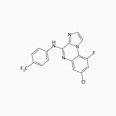 Fc1cc(Cl)cc2nc(Nc3ccc(C(F)(F)F)cc3)c3nccn3c12